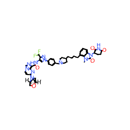 Cn1c(=O)n(C2CCC(=O)NC2=O)c2cccc(CCCCC3CCN(Cc4ccc(-n5cc(NC(=O)c6ncn7ccc(N8C[C@H]9C[C@@H]8CO9)nc67)c(C(F)F)n5)cc4)CC3)c21